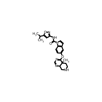 CC(C)c1cc(NC(=O)n2ccc3cc(OC4=NC=NC5CNCCC45C)ccc32)no1